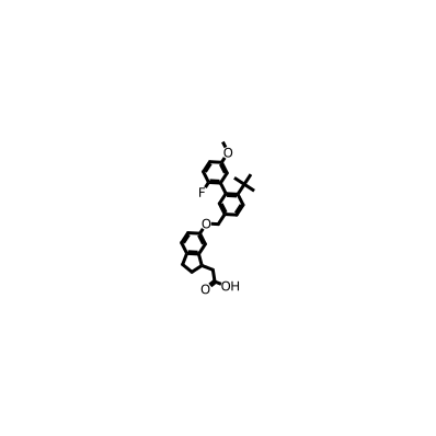 COc1ccc(F)c(-c2cc(COc3ccc4c(c3)C(CC(=O)O)CC4)ccc2C(C)(C)C)c1